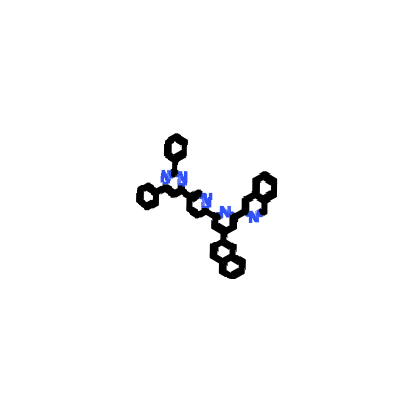 c1ccc(-c2cc(-c3ccc(-c4cc(-c5ccc6ccccc6c5)cc(-c5cc6ccccc6cn5)n4)nc3)nc(-c3ccccc3)n2)cc1